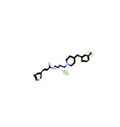 Cl.Cl.O=C(C=Cc1cccnc1)NCCCCN1CCC(Cc2cccc(C(F)(F)F)c2)CC1